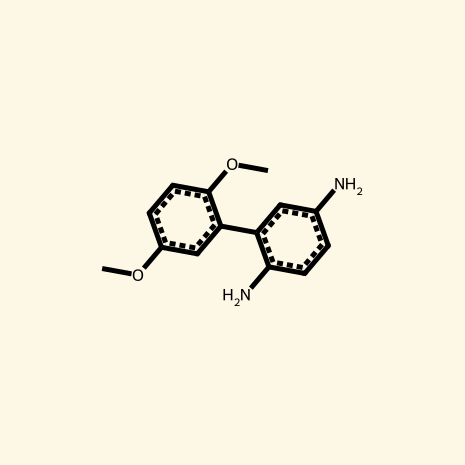 COc1ccc(OC)c(-c2cc(N)ccc2N)c1